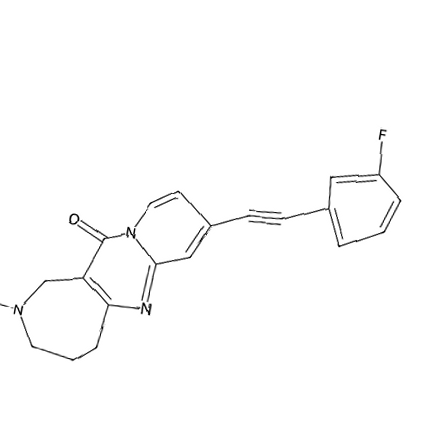 CN1CCCc2nc3cc(C#Cc4cccc(F)c4)ccn3c(=O)c2C1